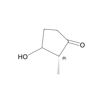 C[C@H]1C(=O)CCC1O